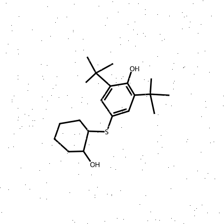 CC(C)(C)c1cc(SC2CCCCC2O)cc(C(C)(C)C)c1O